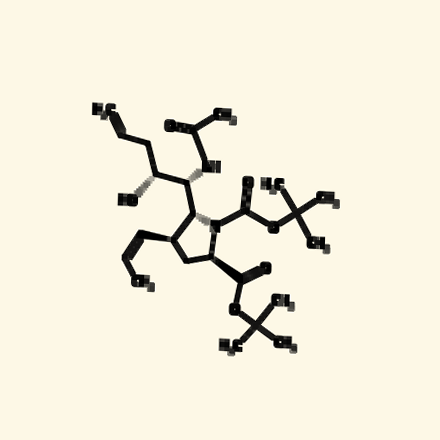 C=CC[C@@H](O)[C@H](NC(C)=O)[C@H]1[C@H](/C=C\C)C[C@H](C(=O)OC(C)(C)C)N1C(=O)OC(C)(C)C